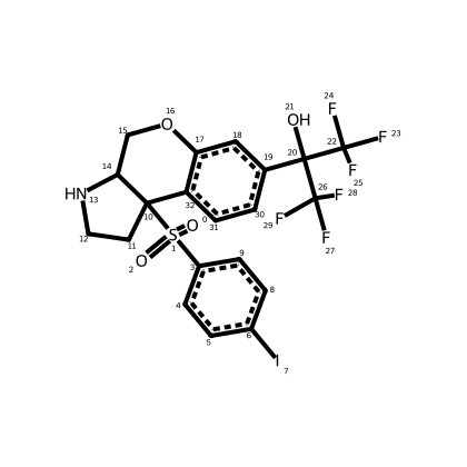 O=S(=O)(c1ccc(I)cc1)C12CCNC1COc1cc(C(O)(C(F)(F)F)C(F)(F)F)ccc12